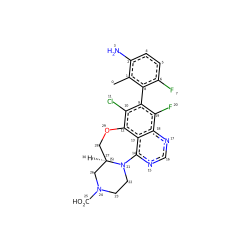 Cc1c(N)ccc(F)c1-c1c(Cl)c2c3c(ncnc3c1F)N1CCN(C(=O)O)C[C@H]1CO2